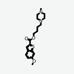 COc1ccc2cc(C(=O)OCCCCN3CCN(C)CC3)sc2c1